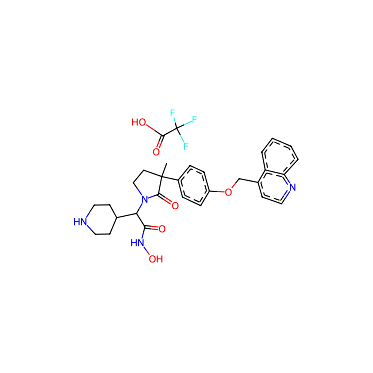 CC1(c2ccc(OCc3ccnc4ccccc34)cc2)CCN(C(C(=O)NO)C2CCNCC2)C1=O.O=C(O)C(F)(F)F